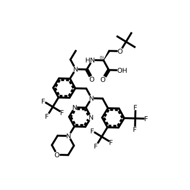 CCN(C(=O)N[C@@H](COC(C)(C)C)C(=O)O)c1ccc(C(F)(F)F)cc1CN(Cc1cc(C(F)(F)F)cc(C(F)(F)F)c1)c1ncc(N2CCOCC2)cn1